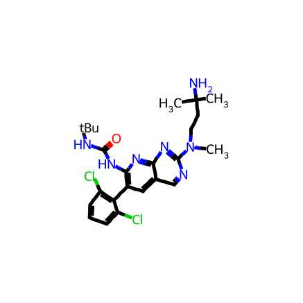 CN(CCC(C)(C)N)c1ncc2cc(-c3c(Cl)cccc3Cl)c(NC(=O)NC(C)(C)C)nc2n1